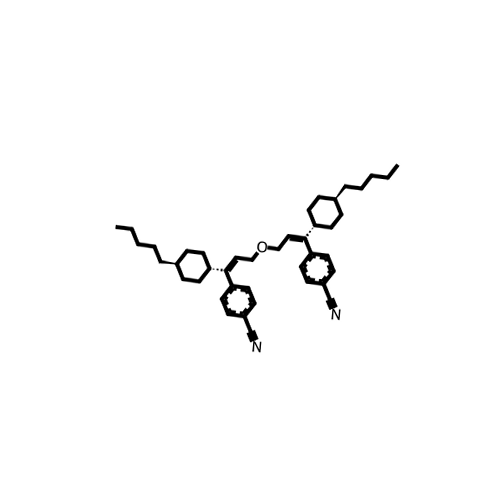 CCCCC[C@H]1CC[C@H](C(=CCOCC=C(c2ccc(C#N)cc2)[C@H]2CC[C@H](CCCCC)CC2)c2ccc(C#N)cc2)CC1